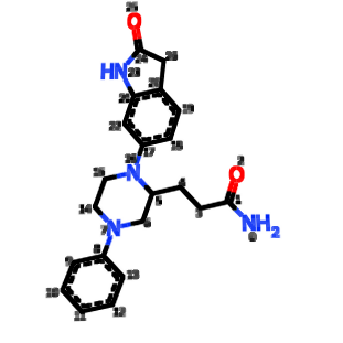 NC(=O)CCC1CN(c2ccccc2)CCN1c1ccc2c(c1)NC(=O)C2